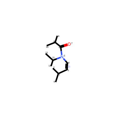 CC(C)/C=C\N(C(=O)C(C)C)C(C)C